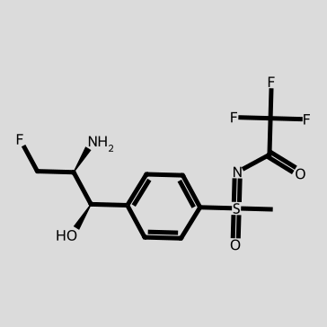 CS(=O)(=NC(=O)C(F)(F)F)c1ccc([C@@H](O)[C@H](N)CF)cc1